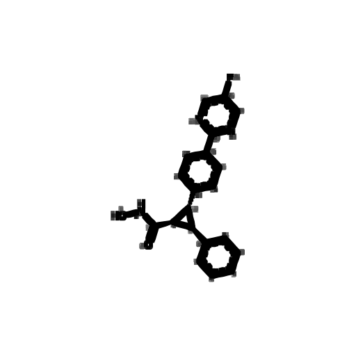 O=C(NO)[C@@H]1[C@H](c2ccccc2)[C@H]1c1ccc(-c2ncc(F)cn2)cc1